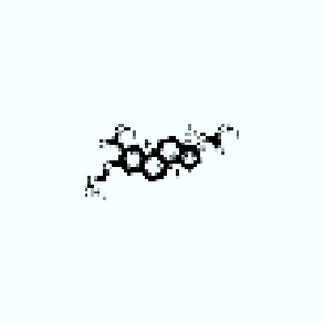 COCOc1cc2c(cc1C(C)=O)[C@H]1CC[C@]3(C)[C@@H](OC(C)=O)CC[C@H]3[C@@H]1CC2